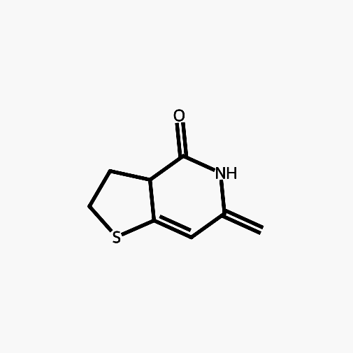 C=C1C=C2SCCC2C(=O)N1